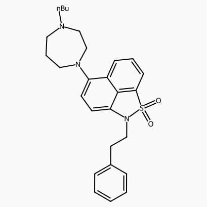 CCCCN1CCCN(c2ccc3c4c(cccc24)S(=O)(=O)N3CCc2ccccc2)CC1